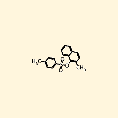 Cc1ccc(S(=O)(=O)Oc2c(C)ccc3ccccc23)cc1